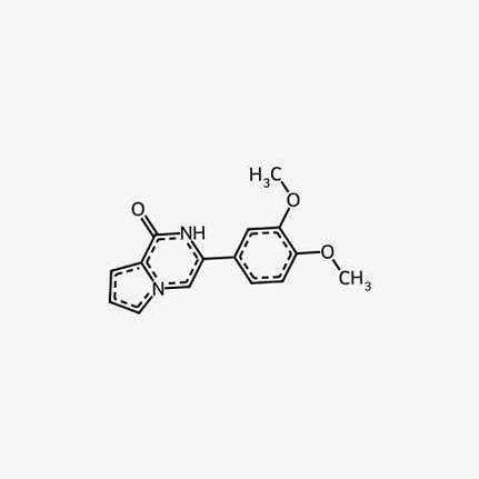 COc1ccc(-c2cn3cccc3c(=O)[nH]2)cc1OC